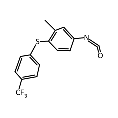 Cc1cc(N=C=O)ccc1Sc1ccc(C(F)(F)F)cc1